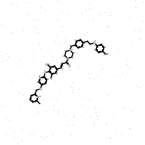 Cc1cccc(COc2ccc(Oc3c(C)cc(/C=C/C(=O)N4CCN(Cc5ccc(CCOc6ccc(C(C)C)cc6)cc5)CC4)cc3Cl)nc2)n1